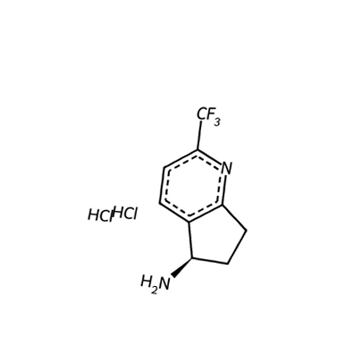 Cl.Cl.N[C@@H]1CCc2nc(C(F)(F)F)ccc21